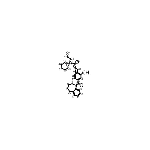 Cc1cc(C(=O)N2CCCCc3ccccc32)ccc1CNC(=O)N(CC=O)N1CCCCC1